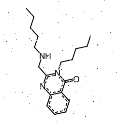 CCCCCNCc1nc2ccccc2c(=O)n1CCCCC